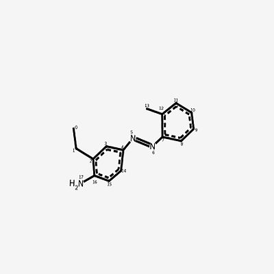 CCc1cc(N=Nc2ccccc2C)ccc1N